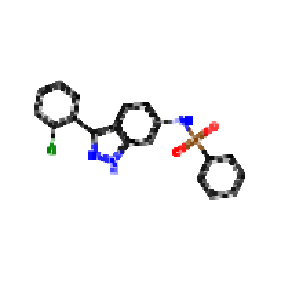 O=S(=O)(Nc1ccc2c(-c3ccccc3Cl)n[nH]c2c1)c1ccccc1